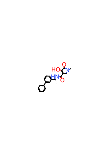 C[C@@H](NC(=O)C1=C(O)C(=O)N(C)C1)c1cccc(-c2ccccc2)c1